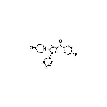 O=C1CCN(c2sc(C(=O)c3ccc(F)cc3)cc2-c2ccncc2)CC1